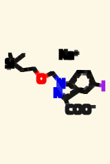 C[Si](C)(C)CCOCn1nc(C(=O)[O-])c2cc(I)ccc21.[Na+]